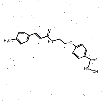 Cc1ccc(/C=C/C(=O)NCCOc2ccc(C(=S)NO)cc2)cc1